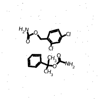 CC(C)(OC(N)=O)c1ccccc1.NC(=O)OCc1ccc(Cl)cc1Cl